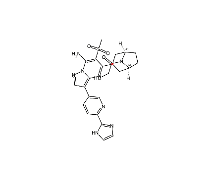 CS(=O)(=O)c1c(C2C[C@H]3CC[C@@H](C2)N3C(=O)CO)nc2c(-c3ccc(-c4ncc[nH]4)nc3)cnn2c1N